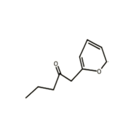 CCCC(=O)CC1=CC=C[CH]O1